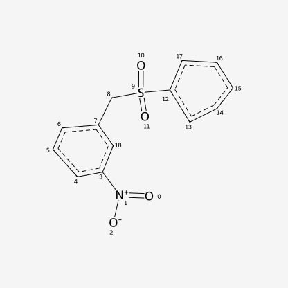 O=[N+]([O-])c1cccc(CS(=O)(=O)c2ccccc2)c1